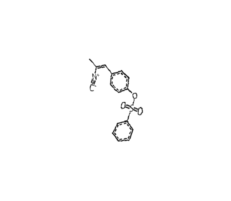 [C-]#[N+]/C(C)=C\c1ccc(OS(=O)(=O)c2ccccc2)cc1